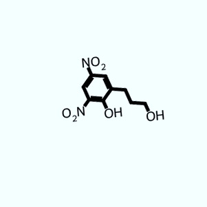 O=[N+]([O-])c1cc(CCCO)c(O)c([N+](=O)[O-])c1